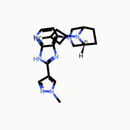 Cn1cc(-c2nc3c(N4CC5CC[C@H](C4)N5C4CC(C#N)C4)ccnc3[nH]2)cn1